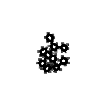 c1ccc(-c2cc(-c3ccccc3)cc(-c3c4ccccc4c(-c4ccccc4)c4cc(-n5c(-c6ccccc6)ccc5-c5ccccc5)ccc34)c2)cc1